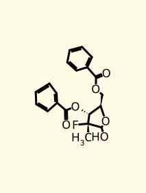 C[C@]1(F)C(O)O[C@H](COC(=O)c2ccccc2)[C@H]1OC(=O)c1ccccc1